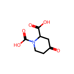 O=C1CCN(C(=O)O)C(C(=O)O)C1